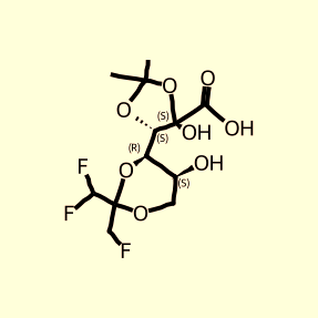 CC1(C)O[C@@H]([C@@H]2OC(CF)(C(F)F)OC[C@@H]2O)[C@@](O)(C(=O)O)O1